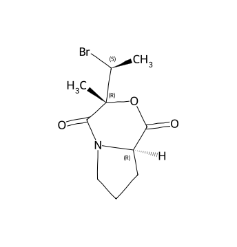 C[C@H](Br)[C@]1(C)OC(=O)[C@H]2CCCN2C1=O